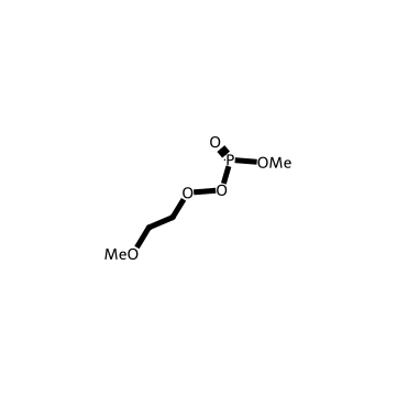 COCCOO[P](=O)OC